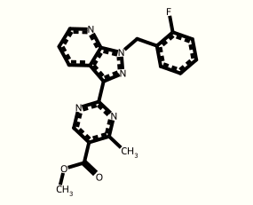 COC(=O)c1cnc(-c2nn(Cc3ccccc3F)c3ncccc23)nc1C